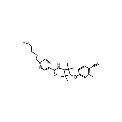 Cc1cc(OC2C(C)(C)C(NC(=O)c3ccc(CCCCO)nc3)C2(C)C)ccc1C#N